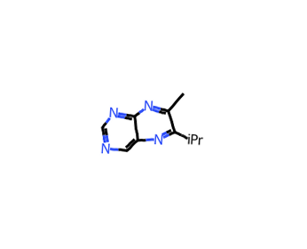 Cc1nc2ncncc2nc1C(C)C